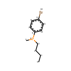 CCCCP(C)c1ccc(Br)cc1